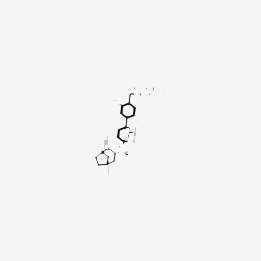 CNC(=O)c1cc(O)c(-c2ccc(N(C)[C@H]3C[C@@H]4CC[C@@H](C4)[C@H]3F)nn2)cc1F